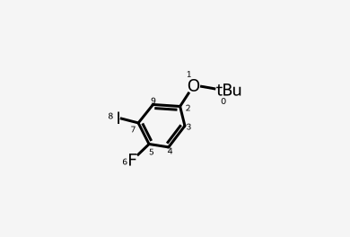 CC(C)(C)Oc1ccc(F)c(I)c1